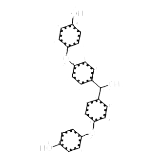 CC(c1ccc(Oc2ccc(O)cc2)cc1)c1ccc(Oc2ccc(O)cc2)cc1